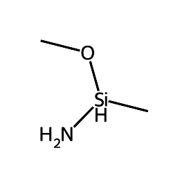 CO[SiH](C)N